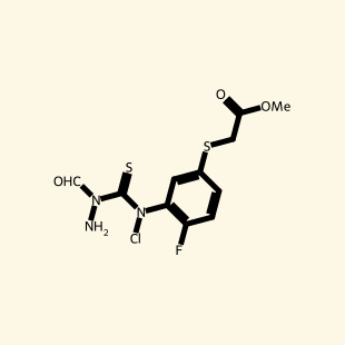 COC(=O)CSc1ccc(F)c(N(Cl)C(=S)N(N)C=O)c1